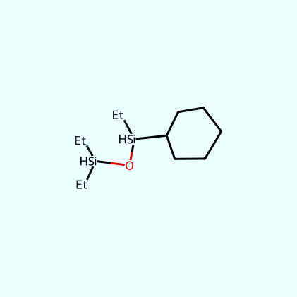 CC[SiH](CC)O[SiH](CC)C1CCCCC1